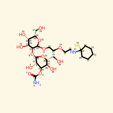 NC(=O)O[C@H]1[C@H](O)[C@@H](O[C@@H]2C(OCCOCCNC3(S)CCCCC3)O[C@@H](CO)[C@@H](O)[C@@H]2O)O[C@H](CO)[C@H]1O